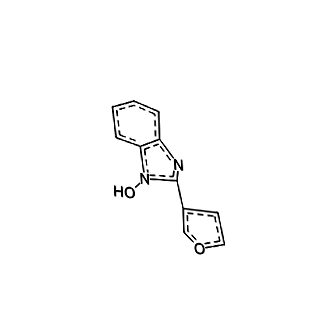 On1c(-c2ccoc2)nc2ccccc21